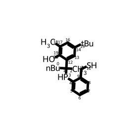 CCCCC(C)(Pc1ccccc1CS)c1cc(C(C)(C)C)cc(C)c1O